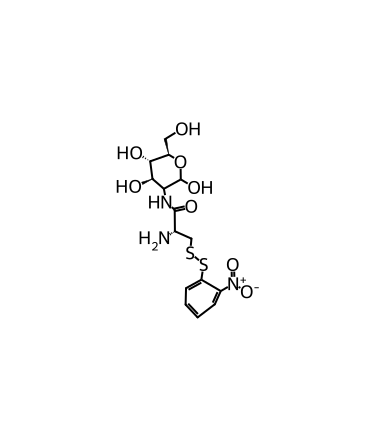 N[C@@H](CSSc1ccccc1[N+](=O)[O-])C(=O)NC1C(O)O[C@H](CO)[C@@H](O)[C@@H]1O